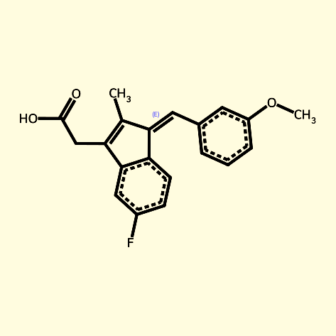 COc1cccc(/C=C2/C(C)=C(CC(=O)O)c3cc(F)ccc32)c1